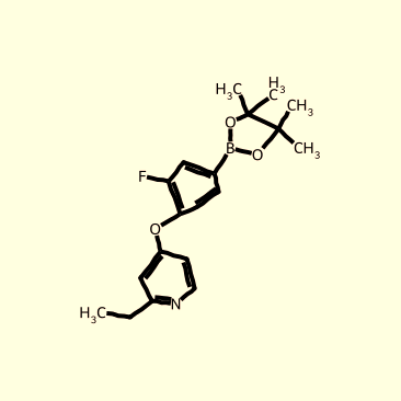 CCc1cc(Oc2ccc(B3OC(C)(C)C(C)(C)O3)cc2F)ccn1